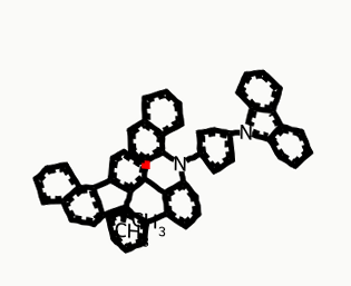 CC1(C)c2ccc3ccccc3c2-c2cccc(-c3c(-c4ccccc4)cccc3N(c3ccc(-n4c5ccccc5c5ccccc54)cc3)c3cccc4ccccc34)c21